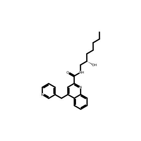 CCCCC[C@H](O)CNC(=O)c1cc(Cc2cccnc2)c2ccccc2n1